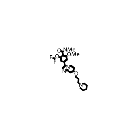 CNC(=O)c1c(OC)cc(-c2cnc3cc(OCCCN4CCCCC4)ccn23)cc1OC(F)F